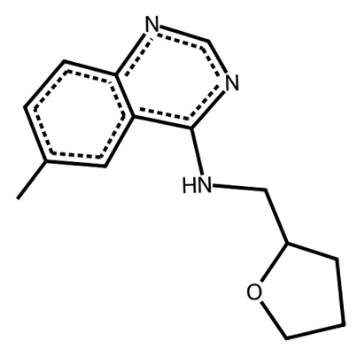 Cc1ccc2ncnc(NCC3CCCO3)c2c1